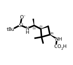 C[C@H](N[S+]([O-])C(C)(C)C)[C@H]1C[C@@H](NC(=O)O)C1(C)C